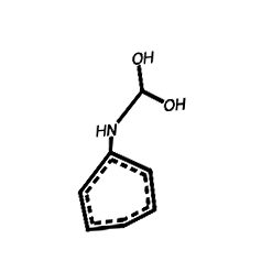 OC(O)Nc1ccccc1